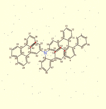 c1ccc(-c2ccccc2-c2ccccc2-c2ccc(N(c3cccc(-c4cccc5cccc(-c6ccccc6)c45)c3)c3ccccc3-c3ccccc3)cc2)cc1